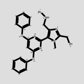 CC(C)Cc1nc(CNC(C)C)c(-c2nc(Oc3ccccc3)cc(Oc3ccccc3)n2)n1C